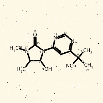 CC1C(O)N(c2cc(C(C)(C)C#N)ncn2)C(=O)N1C